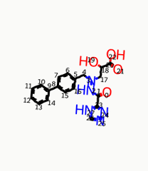 O=C(NN(Cc1ccc(-c2ccccc2)cc1)CC(O)C(=O)O)c1nnc[nH]1